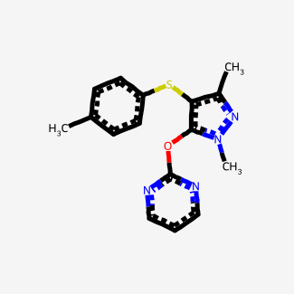 Cc1ccc(Sc2c(C)nn(C)c2Oc2ncccn2)cc1